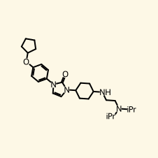 CC(C)N(CCNC1CCC(n2ccn(-c3ccc(OC4CCCC4)cc3)c2=O)CC1)C(C)C